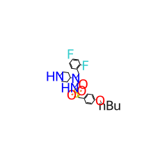 CCCCOc1ccc(CS(=O)(=O)NC(=O)N(Cc2ccc(F)cc2F)C2CCNCC2)cc1